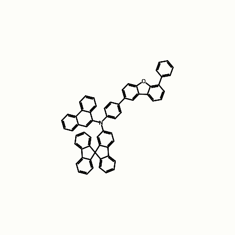 c1ccc(-c2cccc3c2oc2ccc(-c4ccc(N(c5ccc6c(c5)C5(c7ccccc7-c7ccccc75)c5ccccc5-6)c5cc6ccccc6c6ccccc56)cc4)cc23)cc1